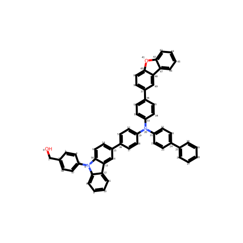 OCc1ccc(-n2c3ccccc3c3cc(-c4ccc(N(c5ccc(-c6ccccc6)cc5)c5ccc(-c6ccc7oc8ccccc8c7c6)cc5)cc4)ccc32)cc1